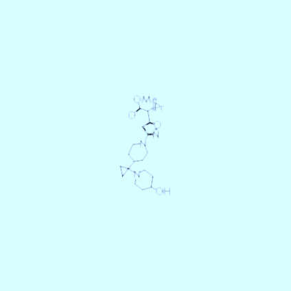 COC(=O)C(c1cc(N2CCC(C3(N4CCC(O)CC4)CC3)CC2)no1)C(C)C